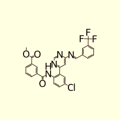 COC(=O)c1cccc(C(=O)Nc2ccc(Cl)cc2-c2cc(N=Cc3cccc(C(F)(F)F)c3)ncn2)c1